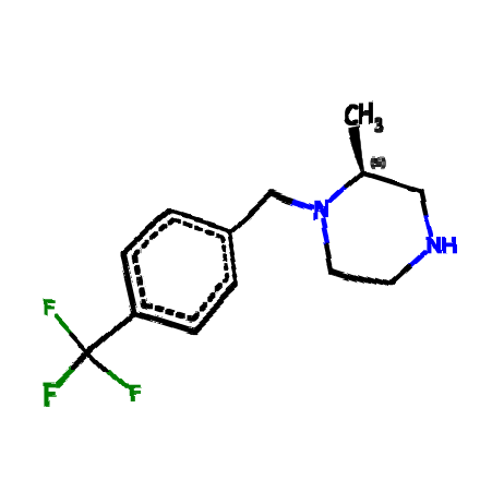 C[C@H]1CNCCN1Cc1ccc(C(F)(F)F)cc1